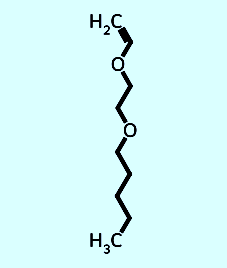 C=COCCOCCCCC